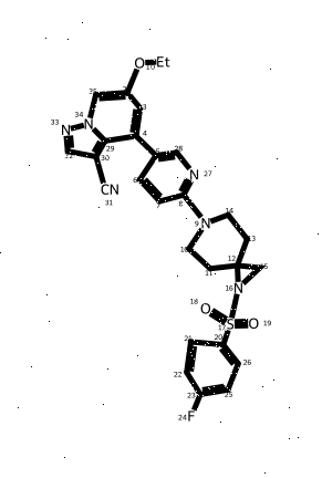 CCOc1cc(-c2ccc(N3CCC4(CC3)CN4S(=O)(=O)c3ccc(F)cc3)nc2)c2c(C#N)cnn2c1